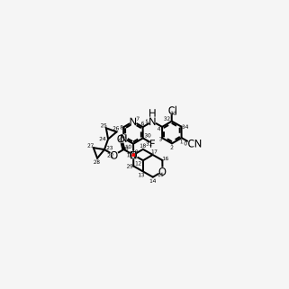 N#Cc1ccc(Nc2ncnc(OC3C4COCC3CN(C(=O)OC3(C5CC5)CC3)C4)c2F)c(Cl)c1